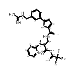 N=C(N)NCc1cccc(-c2ccc(C(=O)NCC(Nc3ncccn3)C(=O)OC(=O)C(F)(F)F)s2)c1